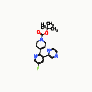 CC(C)(C)OC(=O)N1CC=C(c2ncc(F)cc2-c2cnccn2)CC1